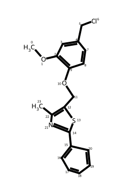 COc1cc(CCl)ccc1OCc1sc(-c2ccccc2)nc1C